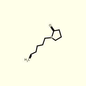 C=CCCCCN1CCCC1=O